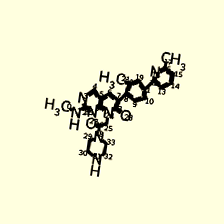 CNc1ncc2cc(-c3ccc(-c4cccc(C)n4)cc3C)c(=O)n(CC(=O)N3CCNCC3)c2n1